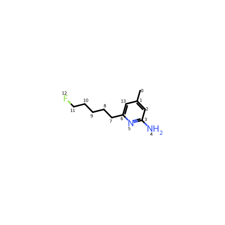 Cc1cc(N)nc(CCCCCF)c1